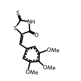 COc1cc(C=C2SC(=S)NC2=O)cc(OC)c1OC